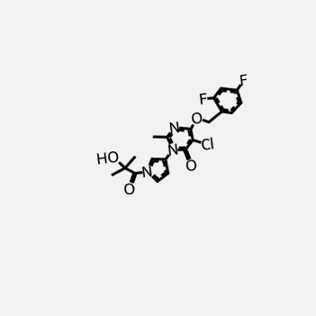 Cc1nc(OCc2ccc(F)cc2F)c(Cl)c(=O)n1-c1ccn(C(=O)C(C)(C)O)c1